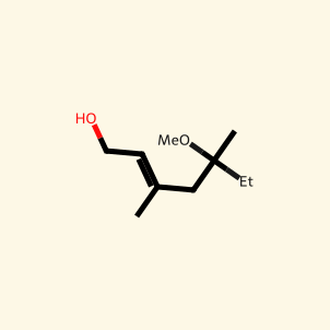 CCC(C)(CC(C)=CCO)OC